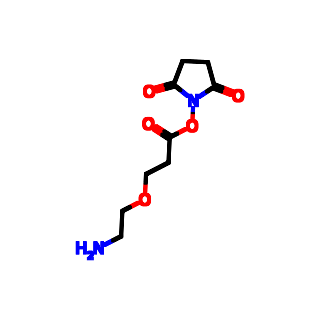 NCCOCCC(=O)ON1C(=O)CCC1=O